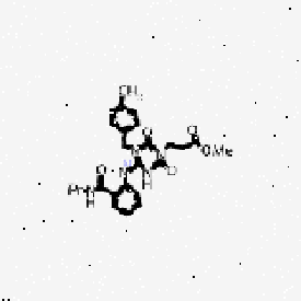 COC(=O)CCn1c(=O)[nH]/c(=N\c2ccccc2C(=O)NC(C)C)n(Cc2ccc(C)cc2)c1=O